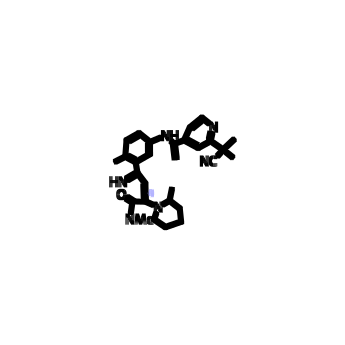 C=C(Nc1ccc(C)c(C(=N)/C=C(\C(=O)NC)N2CCCCC2C)c1)c1ccnc(C(C)(C)C#N)c1